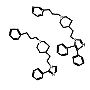 c1ccc(CCCN2CCC(CCn3ccnc3-c3ccccc3)CC2)cc1.c1ccc(CCCN2CCC(CCn3cnc(-c4ccccc4)c3-c3ccccc3)CC2)cc1